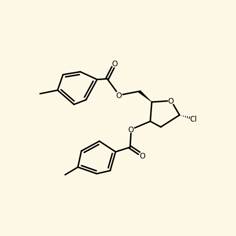 Cc1ccc(C(=O)OC[C@H]2O[C@H](Cl)CC2OC(=O)c2ccc(C)cc2)cc1